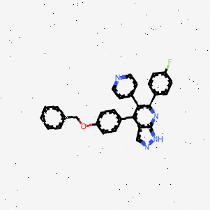 Fc1ccc(-c2nc3[nH]ncc3c(-c3ccc(OCc4ccccc4)cc3)c2-c2ccncc2)cc1